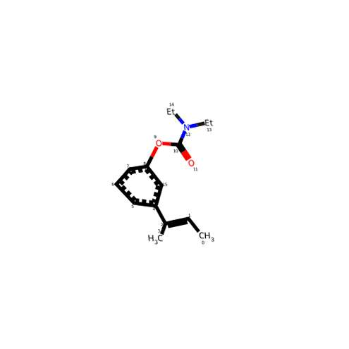 CC=C(C)c1cccc(OC(=O)N(CC)CC)c1